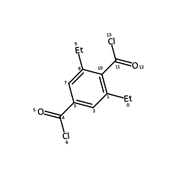 CCc1cc(C(=O)Cl)cc(CC)c1C(=O)Cl